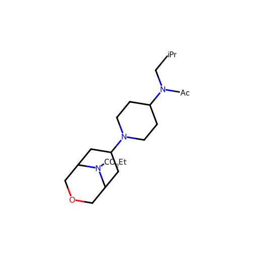 CCOC(=O)N1C2COCC1CC(N1CCC(N(CC(C)C)C(C)=O)CC1)C2